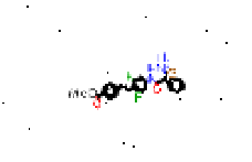 COC(=O)c1ccc(CCc2c(F)cc(NC(=O)c3c(N)sc4c3CCCC4)cc2F)cc1